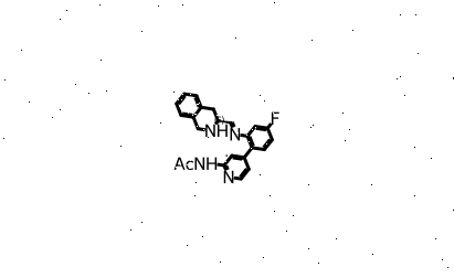 CC(=O)Nc1[c]c(-c2ccc(F)cc2N=C[C@@H]2Cc3ccccc3CN2)ccn1